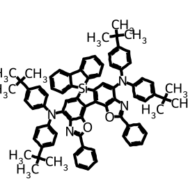 CC(C)(C)c1ccc(N(c2ccc(C(C)(C)C)cc2)c2cc3c(c4oc(-c5ccccc5)nc24)-c2c(cc(N(c4ccc(C(C)(C)C)cc4)c4ccc(C(C)(C)C)cc4)c4nc(-c5ccccc5)oc24)[Si]32c3ccccc3-c3ccccc32)cc1